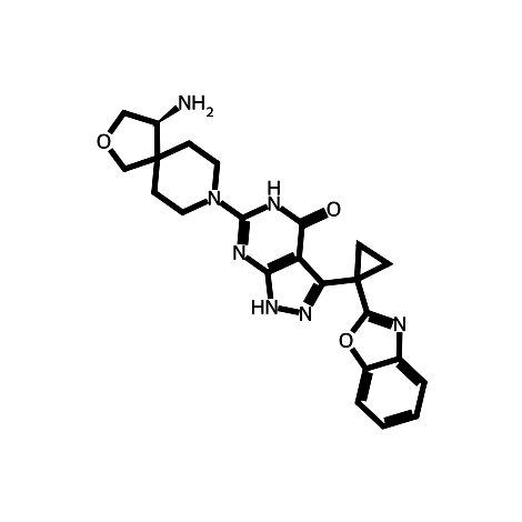 N[C@@H]1COCC12CCN(c1nc3[nH]nc(C4(c5nc6ccccc6o5)CC4)c3c(=O)[nH]1)CC2